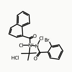 CC(C)(C)[N+](Cl)(C(=O)c1cccc2ccccc12)N(Cl)C(=O)c1ccccc1Br.Cl